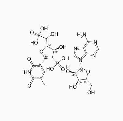 Cc1cn([C@@H]2O[C@H](C(O)P(=O)(O)O)[C@@H](O)C2P(=O)(O)O)c(=O)[nH]c1=O.Nc1ncnc2c1ncn2[C@@H]1O[C@H](CO)[C@@H](O)[C@H]1O